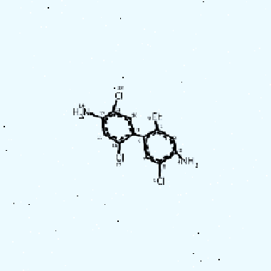 CCc1cc(N)c(Cl)cc1-c1cc(Cl)c(N)cc1Cl